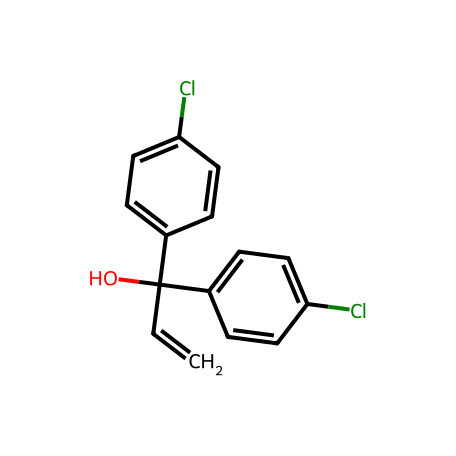 C=CC(O)(c1ccc(Cl)cc1)c1ccc(Cl)cc1